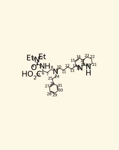 CCN(CC)C(=O)NC(CCN(CCCCc1ccc2c(n1)NCCC2)CCc1ccccc1)C(=O)O